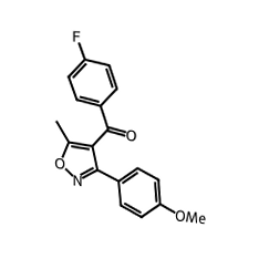 COc1ccc(-c2noc(C)c2C(=O)c2ccc(F)cc2)cc1